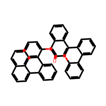 O=C(Oc1ccccc1-c1ccccc1-c1cccc2ccccc12)Oc1ccccc1-c1ccccc1-c1cccc2ccccc12